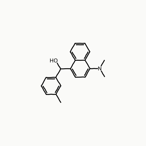 Cc1cccc(C(O)c2ccc(N(C)C)c3ccccc23)c1